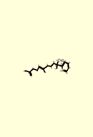 C=C(C)CC/C=C(\C)CCCC(C)(C=O)c1ccccn1